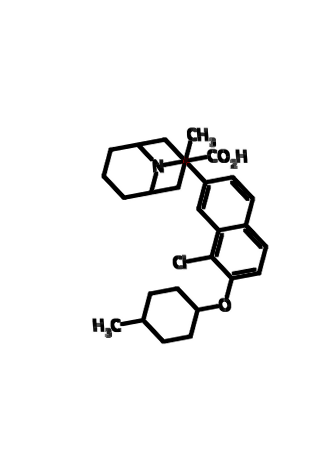 CC1CCC(Oc2ccc3ccc(C(C)N4C5CCCC4CC(C(=O)O)C5)cc3c2Cl)CC1